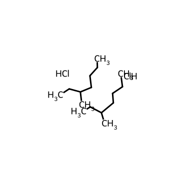 CCCCC(C)CC.CCCCC(C)CC.Cl.Cl